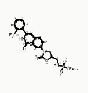 CCCCCS(=O)(=O)NCC1CN(c2ccc3cc(-c4ccccc4C(F)(F)F)[nH]c(=O)c3c2)C(=O)O1